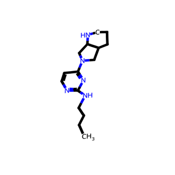 CCCCNc1nccc(N2CC3CCCNC3C2)n1